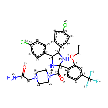 CCOc1cc(C(F)(F)F)ccc1C1(C(=O)N2CCN(CC(N)=O)CC2)NC(c2ccc(Cl)cc2)C(c2ccc(Cl)cc2)N1